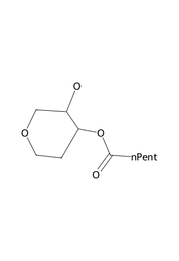 CCCCCC(=O)OC1CCOCC1[O]